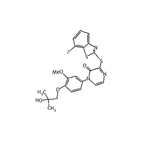 COc1cc(-n2ccnc(Sc3nc4cccc(F)c4s3)c2=O)ccc1OCC(C)(C)O